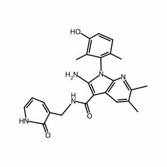 Cc1cc2c(C(=O)NCc3ccc[nH]c3=O)c(N)n(-c3c(C)ccc(O)c3C)c2nc1C